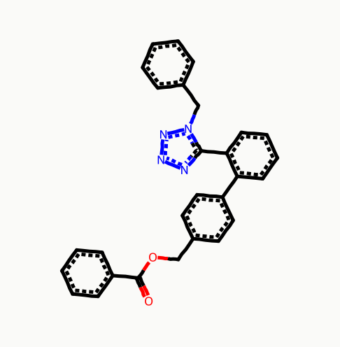 O=C(OCc1ccc(-c2ccccc2-c2nnnn2Cc2ccccc2)cc1)c1ccccc1